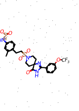 Cc1cc(N[SH](=O)=O)ccc1CCS(=O)(=O)N1CCC2(CC1)N=C(c1cccc(OC(F)(F)F)c1)NC2=O